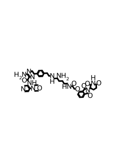 Nc1ncc(-c2ccc(CCNC[C@@H](N)CCCCNC(=O)COc3cccc4c3C(=O)N(C3CCC(=O)NC3=O)C4=O)cc2)nc1C(=O)Nc1cnccc1N1CCOCC1